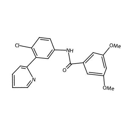 COc1cc(OC)cc(C(=O)Nc2ccc(Cl)c(-c3ccccn3)c2)c1